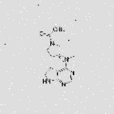 CC(C)COC(=O)N1CC[C@@H](N(C)c2ncnc3[nH]ccc23)C1